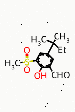 CCC(C)(C)c1cc(C=O)c(O)c(S(C)(=O)=O)c1